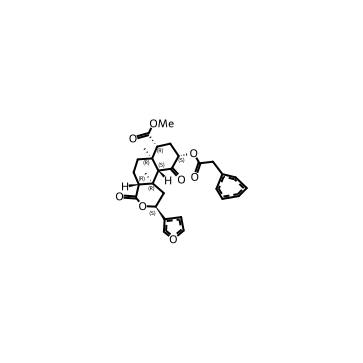 COC(=O)[C@@H]1C[C@H](OC(=O)Cc2ccccc2)C(=O)[C@H]2[C@@]1(C)CC[C@H]1C(=O)O[C@H](c3ccoc3)C[C@]21C